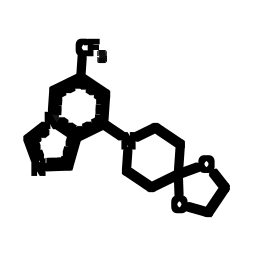 FC(F)(F)c1cc(N2CCC3(CC2)OCCO3)c2cncn2c1